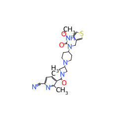 CONC(=O)N(Cc1ccsc1)C1CCN(C2CN(C(=O)c3c(C)cc(C#N)nc3C)C2)CC1